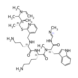 C=CN(C)C(C)[C@@H](C)[C@@H](C)Sc1ncccc1CN[C@@H](CCCN)C(=O)N[C@@H](CCCCN)C(=O)N(C)[C@@H](Cc1c[nH]c2ccccc12)C(=O)N/C=N/C